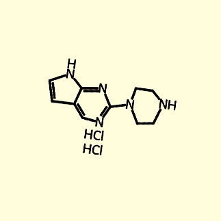 Cl.Cl.c1cc2cnc(N3CCNCC3)nc2[nH]1